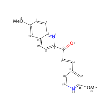 COc1ccc2nc(C(=O)C=Cc3ccnc(OC)c3)ccc2c1